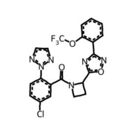 O=C(c1cc(Cl)ccc1-n1nccn1)N1CCC1c1nc(-c2ccccc2OC(F)(F)F)no1